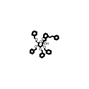 O[C@@]1(c2cc3c(CCc4ccccc4)cccc3s2)O[C@H](COCc2ccccc2)[C@@H](OCc2ccccc2)[C@H](OCc2ccccc2)[C@H]1OCc1ccccc1